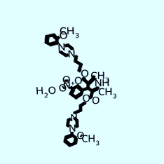 COc1ccccc1N1CCN(CCCCOC(=O)C2=C(C)NC(C)=C(C(=O)OCCCCN3CCN(c4ccccc4OC)CC3)C2c2cccc([N+](=O)[O-])c2)CC1.O